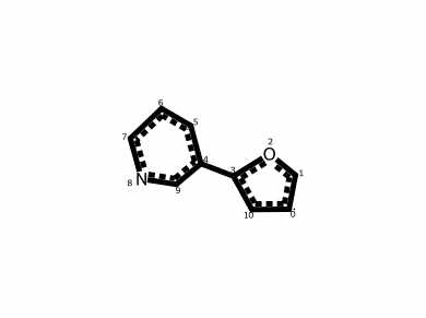 [c]1coc(-c2cccnc2)c1